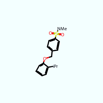 CNS(=O)(=O)c1ccc(COc2ccccc2C(C)C)cc1